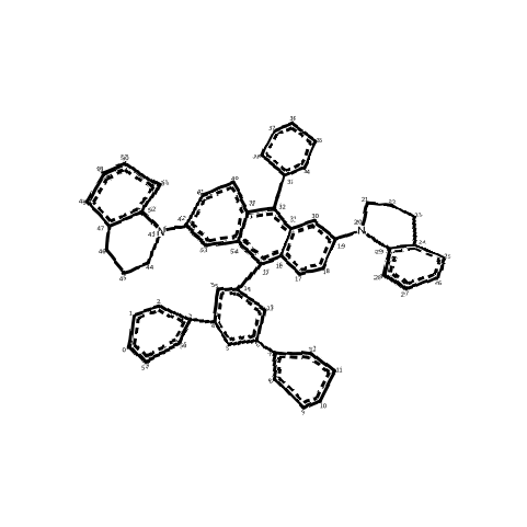 c1ccc(-c2cc(-c3ccccc3)cc(-c3c4ccc(N5CCCc6ccccc65)cc4c(-c4ccccc4)c4ccc(N5CCCc6ccccc65)cc34)c2)cc1